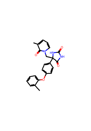 Cc1ccccc1Oc1ccc(C2(Cn3cccc(C)c3=O)NC(=O)NC2=O)cc1